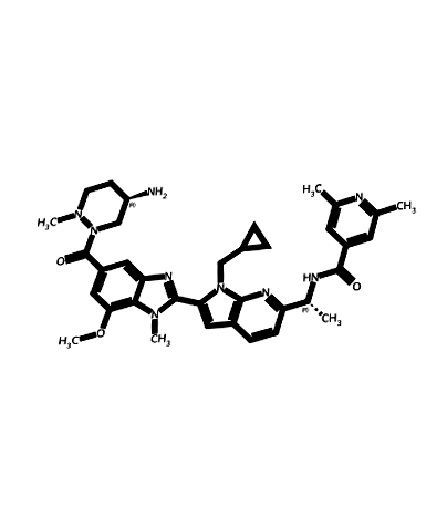 COc1cc(C(=O)N2C[C@H](N)CCN2C)cc2nc(-c3cc4ccc([C@@H](C)NC(=O)c5cc(C)nc(C)c5)nc4n3CC3CC3)n(C)c12